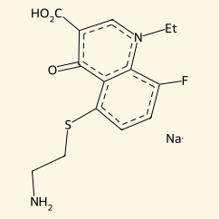 CCn1cc(C(=O)O)c(=O)c2c(SCCN)ccc(F)c21.[Na]